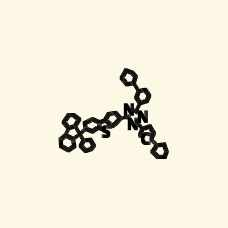 c1ccc(-c2ccc(-c3nc(-c4cccc(-c5ccccc5)c4)nc(-c4ccc5c(c4)sc4cc(C6(c7ccccc7)c7ccccc7-c7ccccc76)ccc45)n3)cc2)cc1